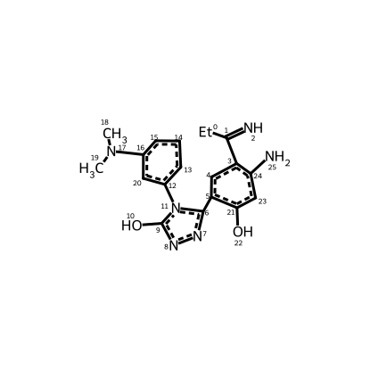 CCC(=N)c1cc(-c2nnc(O)n2-c2cccc(N(C)C)c2)c(O)cc1N